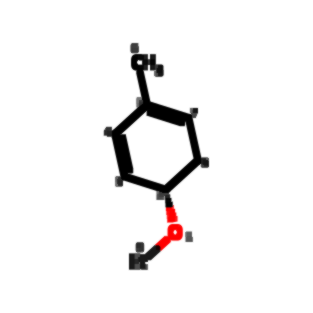 CCO[C@@H]1C=CC(C)=CC1